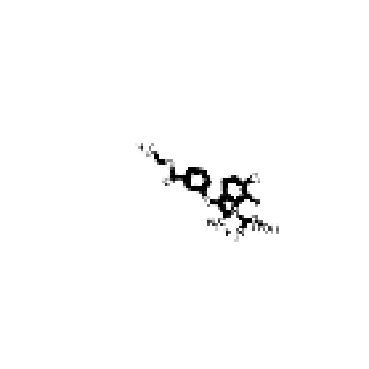 CCOC(=O)c1cccc(Sc2c(C)n(C(N)NO)c3c(F)c(Cl)ccc23)c1